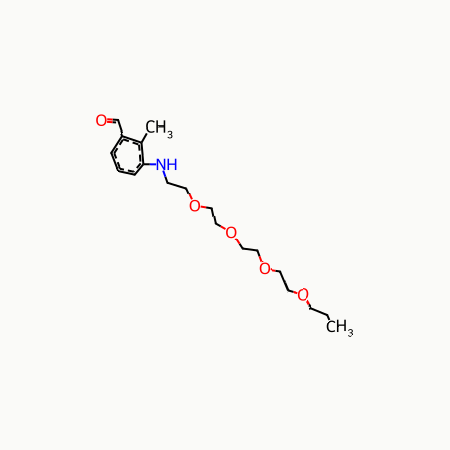 CCCOCCOCCOCCOCCNc1cccc(C=O)c1C